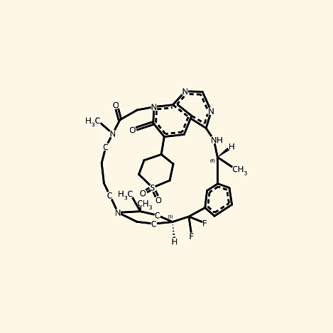 C[C@H]1Nc2ncnc3c2cc(C2CCS(=O)(=O)CC2)c(=O)n3CC(=O)N(C)CCCCN2CC[C@@H](CC2(C)C)C(F)(F)c2cccc1c2